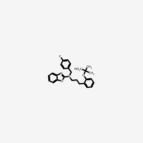 CC(C)(Oc1ccccc1CCCN(Cc1ccc(F)cc1)c1nc2ccccc2o1)C(=O)O